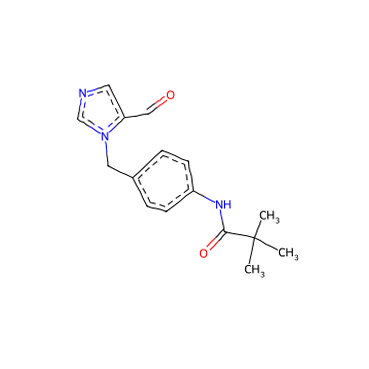 CC(C)(C)C(=O)Nc1ccc(Cn2cncc2C=O)cc1